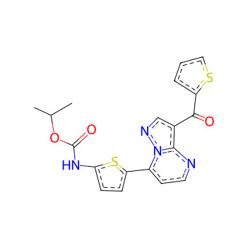 CC(C)OC(=O)Nc1ccc(-c2ccnc3c(C(=O)c4cccs4)cnn23)s1